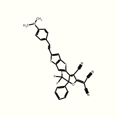 CN(C)c1ccc(/C=C/c2cc3sc(C4=C(C#N)C(=C(C#N)C#N)OC4(c4ccccc4)C(F)(F)F)cc3s2)cc1